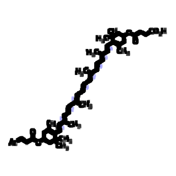 CC(=O)CCC(=O)OC1CC(C)=C(/C=C/C(C)=C/C=C/C(C)=C/C=C/C=C(C)/C=C/C=C(C)/C=C/C2=C(C)CC(OC(=O)CCC(=O)O)CC2(C)C)C(C)(C)C1